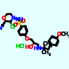 COc1ccc(CC(C)(C)NC[C@@H](O)COc2ccc(S(=O)(=O)NN3CCOC(C#N)C3Cl)cc2)cc1.Cl